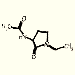 CCN1CCC(NC(C)=O)C1=O